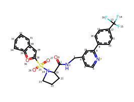 O=C(NCc1ccnc(-c2ccc(C(F)(F)F)cc2)c1)C1CCCN1S(=O)(=O)c1cc2ccccc2o1